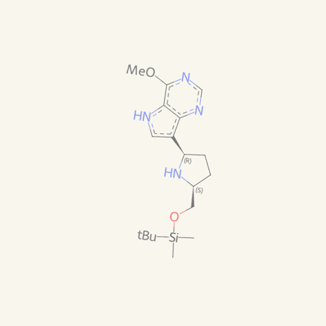 COc1ncnc2c([C@H]3CC[C@@H](CO[Si](C)(C)C(C)(C)C)N3)c[nH]c12